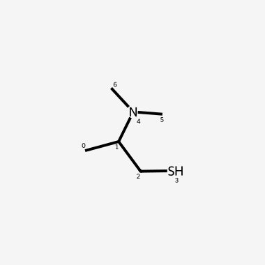 CC(CS)N(C)C